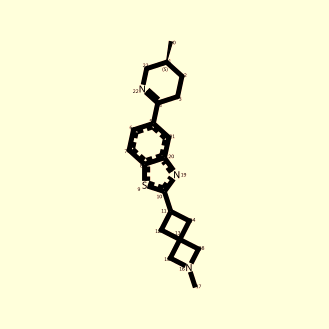 C[C@H]1CCC(c2ccc3sc(C4CC5(C4)CN(C)C5)nc3c2)=NC1